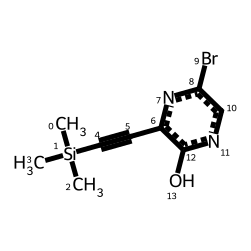 C[Si](C)(C)C#Cc1nc(Br)cnc1O